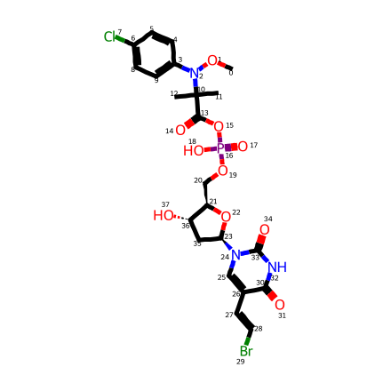 CON(c1ccc(Cl)cc1)C(C)(C)C(=O)OP(=O)(O)OC[C@H]1O[C@@H](n2cc(/C=C/Br)c(=O)[nH]c2=O)C[C@@H]1O